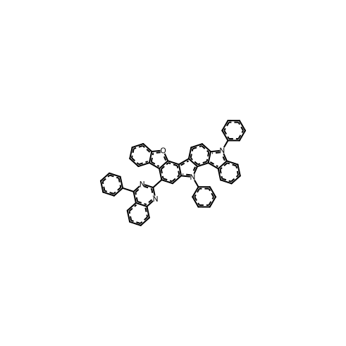 c1ccc(-c2nc(-c3cc4c(c5ccc6c(c7ccccc7n6-c6ccccc6)c5n4-c4ccccc4)c4oc5ccccc5c34)nc3ccccc23)cc1